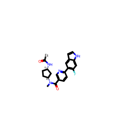 CCC(=O)N[C@H]1CC[C@@H](N(C)C(=O)c2ccc(-c3cc4cc[nH]c4cc3F)nc2)C1